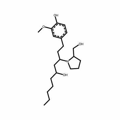 CCCCCC(O)CC(CCc1ccc(O)c(OC)c1)N1CCCC1CO